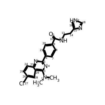 CN(C)c1nc(-c2ccc(C(=O)NCCc3c[nH]cn3)cc2)nc2ccc(Cl)cc12